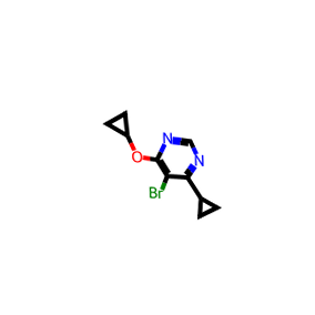 Brc1c(OC2CC2)ncnc1C1CC1